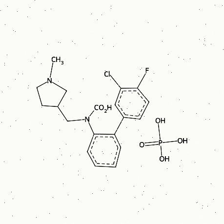 CN1CCC(CN(C(=O)O)c2ccccc2-c2ccc(F)c(Cl)c2)C1.O=P(O)(O)O